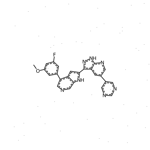 COc1cc(F)cc(-c2cncc3[nH]c(-c4n[nH]c5ncc(-c6cncnc6)cc45)cc23)c1